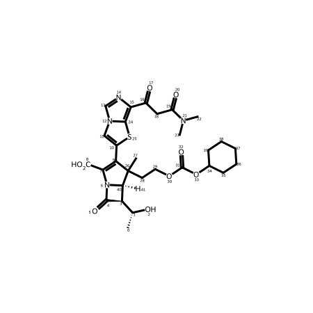 C[C@@H](O)[C@H]1C(=O)N2C(C(=O)O)=C(c3cn4cnc(C(=O)CC(=O)N(C)C)c4s3)C(C)(CCOC(=O)OC3CCCCC3)[C@@H]12